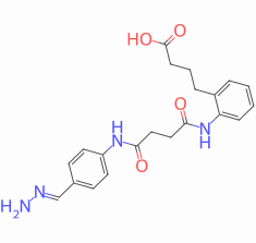 NN=Cc1ccc(NC(=O)CCC(=O)Nc2ccccc2CCCC(=O)O)cc1